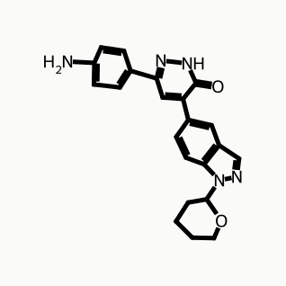 Nc1ccc(-c2cc(-c3ccc4c(cnn4C4CCCCO4)c3)c(=O)[nH]n2)cc1